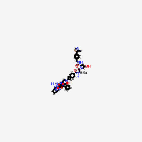 Cc1ncsc1-c1ccc(CNC(=O)[C@@H]2C[C@@H](O)CN2C(=O)[C@@H](NC(=O)[C@H]2CCC3(CC2)C[C@H](N2CCC(c4cnc(N5C6CCC5CN(c5cc(-c7ccccc7O)nnc5N)C6)nc4)CC2)C3)C(C)(C)C)cc1